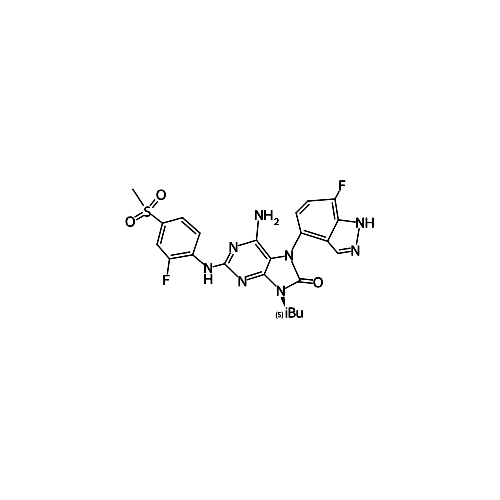 CC[C@H](C)n1c(=O)n(-c2ccc(F)c3[nH]ncc23)c2c(N)nc(Nc3ccc(S(C)(=O)=O)cc3F)nc21